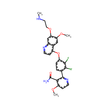 CNCCOc1cc2nccc(Oc3ccc(-c4nccc(OC)c4C(N)=O)c(F)c3F)c2cc1OC